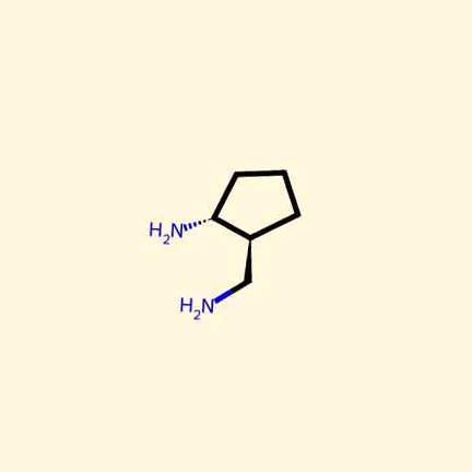 NC[C@@H]1CCC[C@H]1N